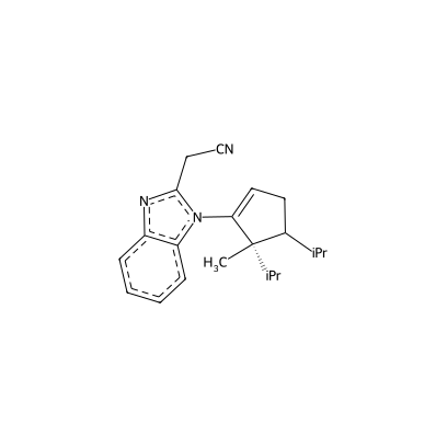 CC(C)C1CC=C(n2c(CC#N)nc3ccccc32)[C@@]1(C)C(C)C